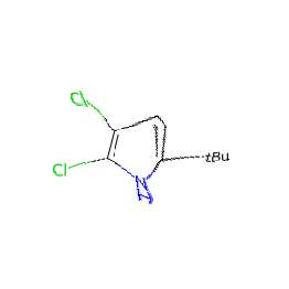 CC(C)(C)c1cc(Cl)c(Cl)[nH]1